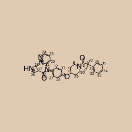 CC(C)(C(=O)N1CCC(Oc2ccc(N(C(=O)C3CNC3)c3cccnn3)cc2)CC1)c1ccccc1